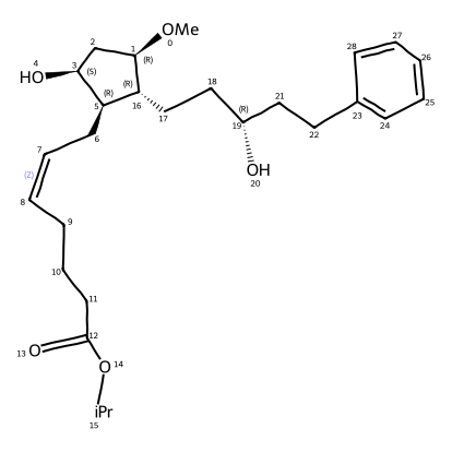 CO[C@@H]1C[C@H](O)[C@H](C/C=C\CCCC(=O)OC(C)C)[C@H]1CC[C@@H](O)CCc1ccccc1